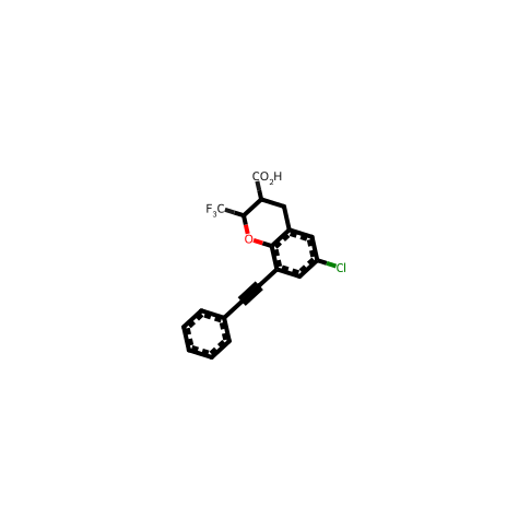 O=C(O)C1Cc2cc(Cl)cc(C#Cc3ccccc3)c2OC1C(F)(F)F